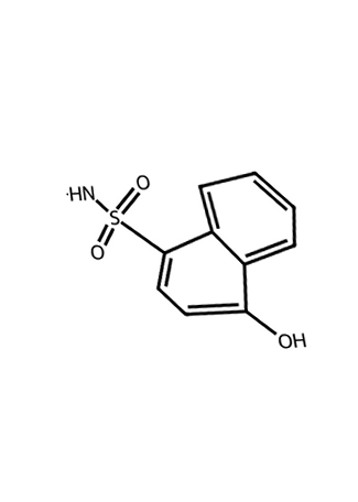 [NH]S(=O)(=O)c1ccc(O)c2ccccc12